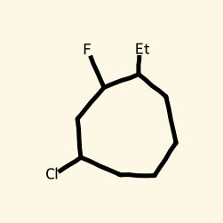 CCC1CCCCC(Cl)CC1F